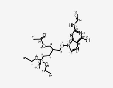 CCOP(=O)(CCC(COC(C)=O)COn1cnc2c(Cl)nc(NC=O)nc21)OCC